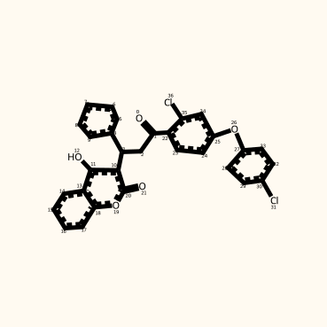 O=C(CC(c1ccccc1)c1c(O)c2ccccc2oc1=O)c1ccc(Oc2ccc(Cl)cc2)cc1Cl